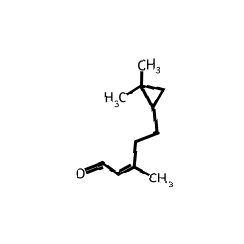 C/C(=C/C=O)CCC1CC1(C)C